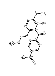 COCOc1ccc(OC)c(F)c1C(=O)c1ccc(C(=O)O)cc1